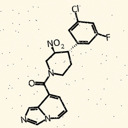 O=C(c1cccn2cncc12)N1CC[C@@H](c2cc(F)cc(Cl)c2)[C@H]([N+](=O)[O-])C1